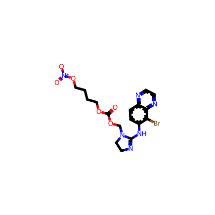 O=C(OCCCCO[N+](=O)[O-])OCN1CCN=C1Nc1ccc2nccnc2c1Br